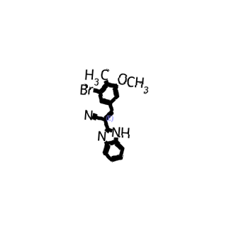 COc1cc(/C=C(\C#N)c2nc3ccccc3[nH]2)cc(Br)c1C